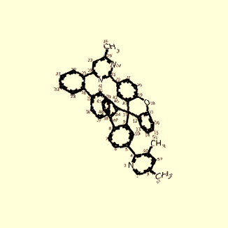 Cc1cnc(-c2ccc3c(c2)C2(c4ccccc4Oc4ccc(-c5nc(C)cc(-c6ccccc6-c6ccccc6)n5)cc42)c2ccccc2-3)c(C)c1